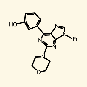 CC(C)n1cnc2c(-c3cccc(O)c3)nc(N3CCOCC3)nc21